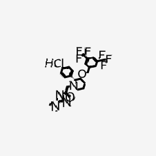 CN(C)c1noc(CN2CCC[C@@H](OCc3cc(C(F)(F)F)cc(C(F)(F)F)c3)[C@H]2c2ccccc2)n1.Cl